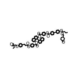 CCCC(OCC1CCC2OC2C1)Oc1ccc(-c2ccc(C(=O)Oc3ccc(C(=O)Oc4ccc5ccccc5c4-c4c(OC(=O)c5ccc(OC(=O)/C=C/c6ccc(OCC7(CC)COC7)cc6)cc5)ccc5ccccc45)cc3)cc2)cc1